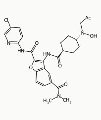 CC(=O)CN(O)[C@H]1CC[C@H](C(=O)Nc2c(C(=O)Nc3ccc(Cl)cn3)oc3ccc(C(=O)N(C)C)cc23)CC1